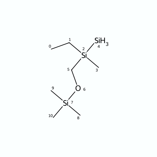 CC[Si](C)([SiH3])CO[Si](C)(C)C